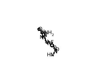 CNCCN(C)C(=O)COc1ccc(N2CCN(CCn3cnc4c3nc(N)n3nc(-c5ccco5)cc43)CC2)c(F)c1